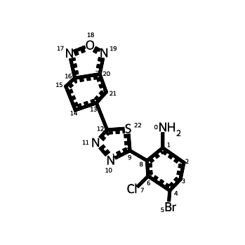 Nc1ccc(Br)c(Cl)c1-c1nnc(-c2ccc3nonc3c2)s1